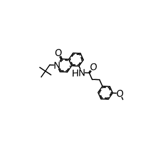 COc1cccc(CCC(=O)Nc2cccc3c(=O)n(CC(C)(C)C)ccc23)c1